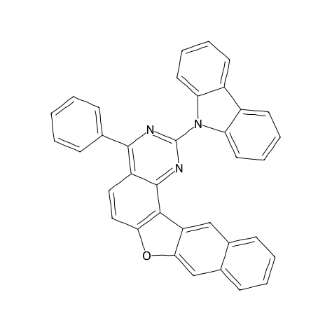 c1ccc(-c2nc(-n3c4ccccc4c4ccccc43)nc3c2ccc2oc4cc5ccccc5cc4c23)cc1